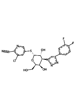 N#Cc1ncc(S[C@H]2O[C@H](CO)[C@H](O)[C@H](n3cc(-c4ccc(F)c(F)c4)nn3)[C@H]2O)cc1Cl